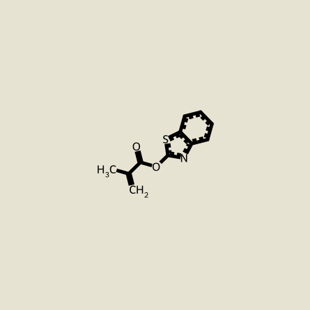 C=C(C)C(=O)Oc1nc2ccccc2s1